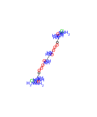 CC(CCc1ccc(OCCOCCOCCNC(=O)NCCCCCCNC(=O)NCCOCCOCCOc2ccc(CCC(C)NC(=N)NC(=O)c3nc(Cl)c(N)nc3N)cc2)cc1)NC(=N)NC(=O)c1cnc(N)c(Cl)n1